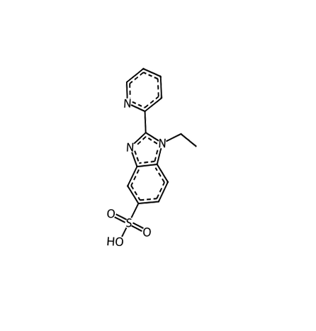 CCn1c(-c2ccccn2)nc2cc(S(=O)(=O)O)ccc21